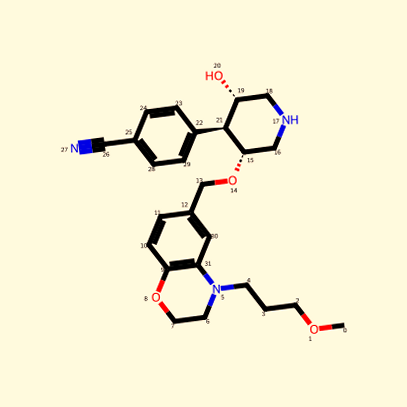 COCCCN1CCOc2ccc(CO[C@H]3CNC[C@@H](O)[C@@H]3c3ccc(C#N)cc3)cc21